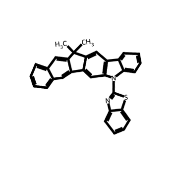 CC1(C)c2cc3ccccc3cc2-c2cc3c(cc21)c1ccccc1n3-c1nc2ccccc2s1